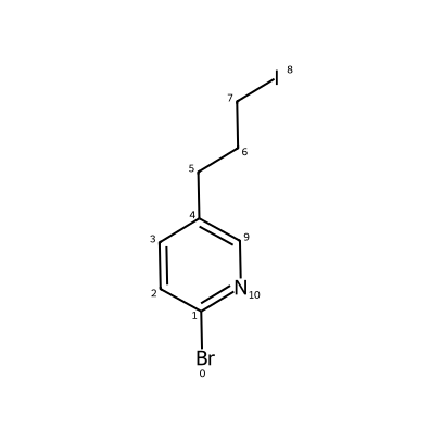 Brc1ccc(CCCI)cn1